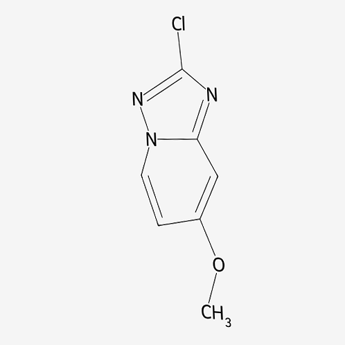 COc1ccn2nc(Cl)nc2c1